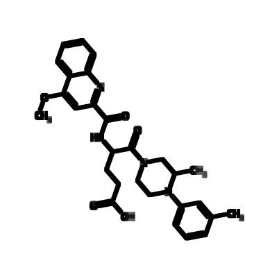 COc1cc(C(=O)NC(CCC(=O)O)C(=O)N2CCN(c3cccc(C)c3)C(C)C2)nc2ccccc12